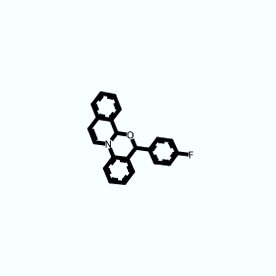 Fc1ccc(C2OC3c4ccccc4C=CN3c3ccccc32)cc1